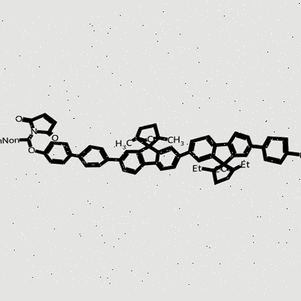 CCCCCCCCCC(Oc1ccc(-c2ccc(-c3ccc4c(c3)C3(c5cc(-c6ccc7c(c6)C6(c8cc(-c9ccc(C)cc9)ccc8-7)C7(CC)CCC6(CC)CC7)ccc5-4)C4(C)CCC3(C)CC4)cc2)cc1)N1C(=O)C=CC1=O